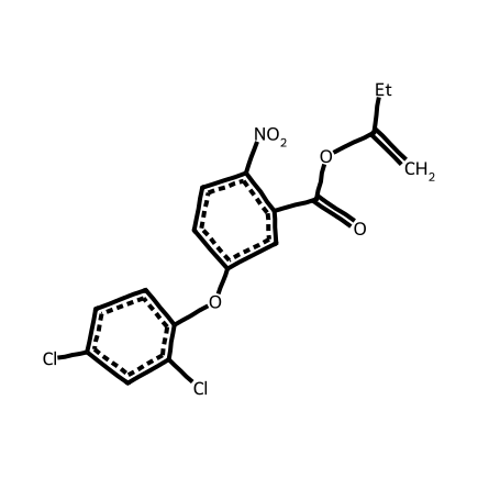 C=C(CC)OC(=O)c1cc(Oc2ccc(Cl)cc2Cl)ccc1[N+](=O)[O-]